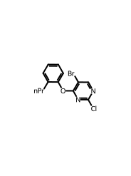 CCCc1ccccc1Oc1nc(Cl)ncc1Br